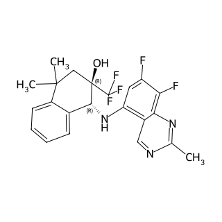 Cc1ncc2c(N[C@@H]3c4ccccc4C(C)(C)C[C@]3(O)C(F)(F)F)cc(F)c(F)c2n1